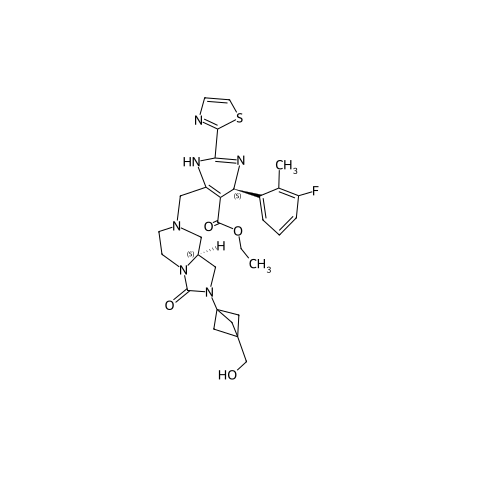 CCOC(=O)C1=C(CN2CCN3C(=O)N(C45CC(CO)(C4)C5)C[C@@H]3C2)NC(c2nccs2)=N[C@H]1c1cccc(F)c1C